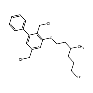 CC(C)CCCC(C)CCOc1cc(CCl)cc(-c2ccccc2)c1CCl